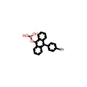 CC(C)c1ccc(-c2c3ccccc3c(OB(O)O)c3ccccc23)cc1